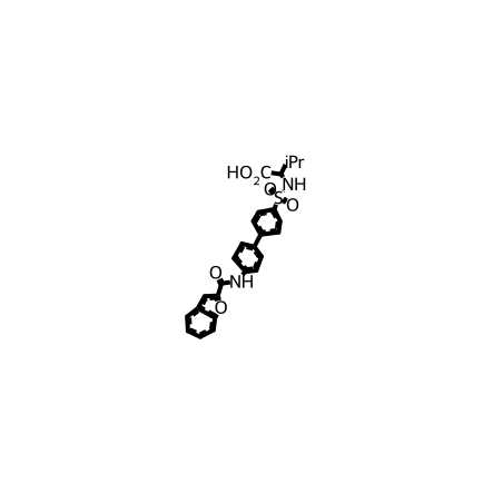 CC(C)C(NS(=O)(=O)c1ccc(-c2ccc(NC(=O)c3cc4ccccc4o3)cc2)cc1)C(=O)O